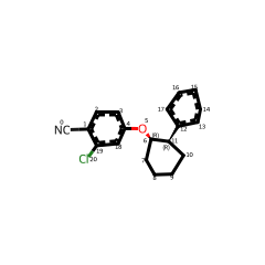 N#Cc1ccc(O[C@@H]2CCCC[C@@H]2c2ccccc2)cc1Cl